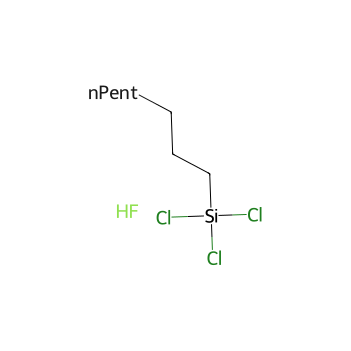 CCCCCCCC[Si](Cl)(Cl)Cl.F